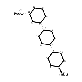 CCCC[C@H]1CC[C@H](C2CCC([C@H]3CCC[C@@H](OC)C3)CC2)CC1